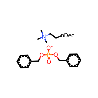 CCCCCCCCCCCC[N+](C)(C)C.O=P([O-])(OCc1ccccc1)OCc1ccccc1